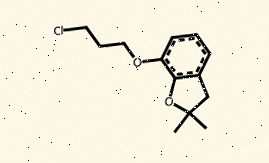 CC1(C)Cc2cccc(OCCCCl)c2O1